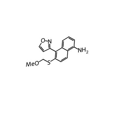 COCSc1ccc2c(N)cccc2c1-c1ccon1